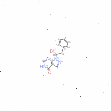 O=c1[nH]cnc2c1cnn2C(Br)Cc1ccccc1